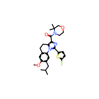 COc1cc2c(cc1CC(C)C)-n1c(-c3ccc(F)s3)nc(C(=O)N3CCOCC3(C)C)c1CC2